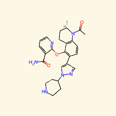 CC(=O)N1c2ccc(-c3cnn(C4CCNCC4)c3)c(Oc3ncccc3C(N)=O)c2CC[C@@H]1C